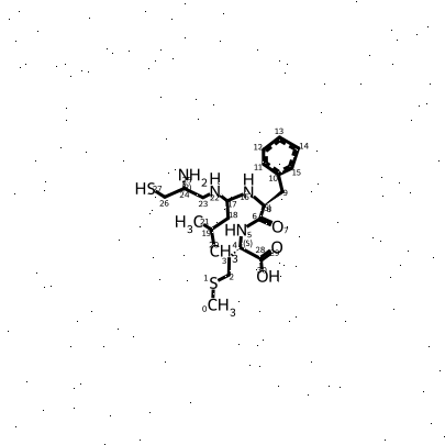 CSCC[C@H](NC(=O)[C@H](Cc1ccccc1)NC(CC(C)C)NC[C@@H](N)CS)C(=O)O